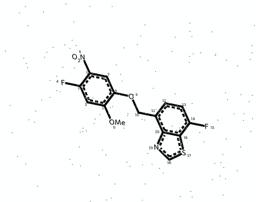 COc1cc(F)c([N+](=O)[O-])cc1OCc1ccc(F)c2scnc12